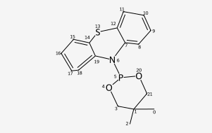 CC1(C)COP(N2c3ccccc3Sc3ccccc32)OC1